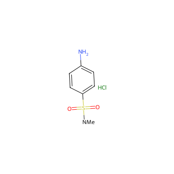 CNS(=O)(=O)c1ccc(N)cc1.Cl